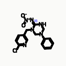 O=[N+]([O-])/N=C1/NCN(c2ccccc2)CN1Cc1ccc(Cl)nc1